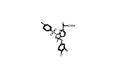 COC(=O)c1ccc2c(n1)N(S(=O)(=O)c1ccc(C)cc1)CC2(C)Cc1ccc(Cl)c(F)c1